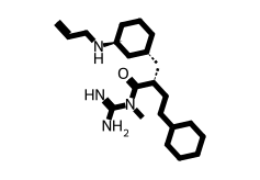 C=CCN[C@H]1CCC[C@H](C[C@H](CCC2CCCCC2)C(=O)N(C)C(=N)N)C1